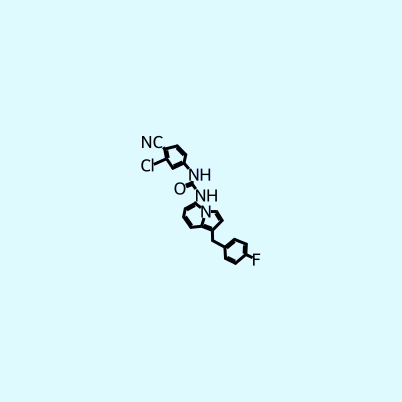 N#Cc1ccc(NC(=O)Nc2cccc3c(Cc4ccc(F)cc4)ccn23)cc1Cl